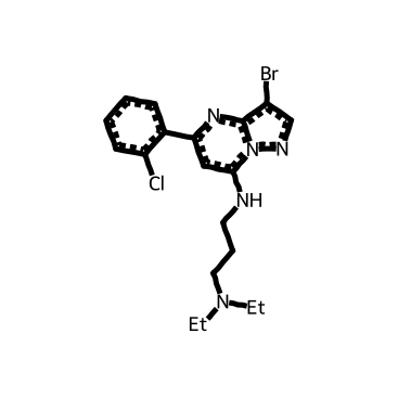 CCN(CC)CCCNc1cc(-c2ccccc2Cl)nc2c(Br)cnn12